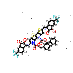 O=C1C(=O)c2cc(C(F)(F)F)ccc2/C1=C/c1cc2sc3c4sc(/C=C5/c6ccc(C(F)(F)F)cc6C(=O)C5O)cc4n(C(=O)OCc4ccccc4)c3c2n1C(=O)OCc1ccccc1